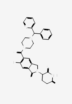 O=C1CCC(N2Cc3cc(C(=O)N4CCN(C(c5ccccc5)c5ccccn5)CC4)c(F)cc3C2=O)C(=O)N1